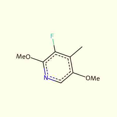 COc1cnc(OC)c(F)c1C